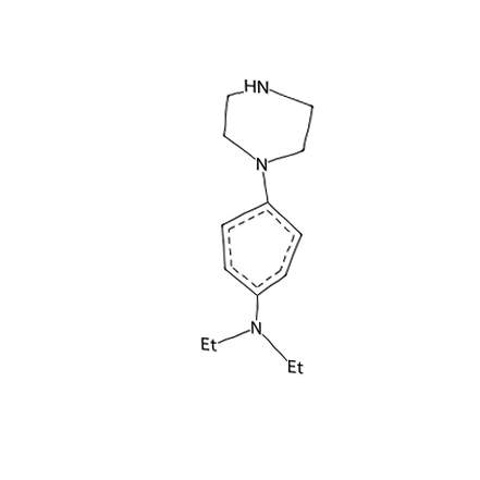 CCN(CC)c1ccc(N2CCNCC2)cc1